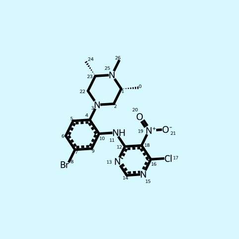 C[C@@H]1CN(c2ccc(Br)cc2Nc2ncnc(Cl)c2[N+](=O)[O-])C[C@H](C)N1C